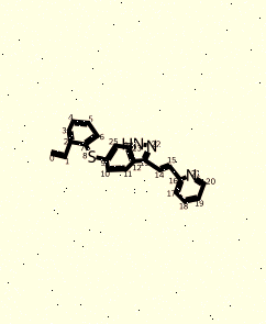 C=Cc1ccccc1Sc1ccc2c(/C=C/c3ccccn3)n[nH]c2c1